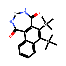 C[Si](C)(C)c1c2c(c3ccccc3c1[Si](C)(C)C)C(=O)[NH][Ti][NH]C2=O